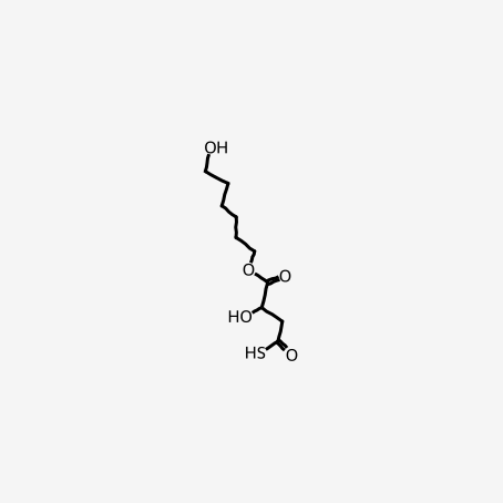 O=C(S)CC(O)C(=O)OCCCCCCO